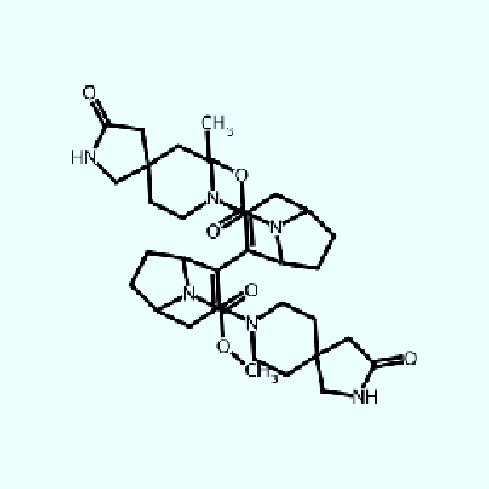 CCOC(=O)N1C2CCC1C(C1=C(N3CCC4(CC3)CNC(=O)C4)CC3CCC1N3C(=O)OC)=C(N1CCC3(CC1)CNC(=O)C3)C2